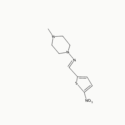 CN1CCN(N=Cc2ccc([N+](=O)[O-])s2)CC1